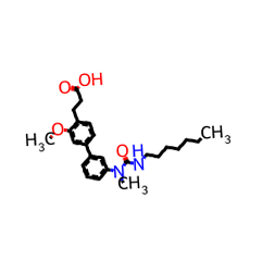 CCCCCCCNC(=O)N(C)c1cccc(-c2ccc(CCC(=O)O)c(OC)c2)c1